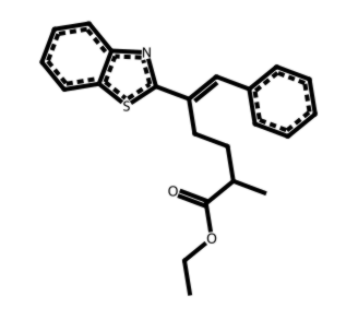 CCOC(=O)C(C)CCC(=Cc1ccccc1)c1nc2ccccc2s1